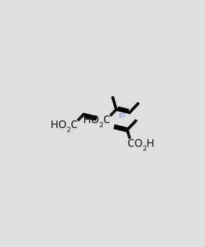 C/C=C(\C)C(=O)O.C=C(C)C(=O)O.C=CC(=O)O